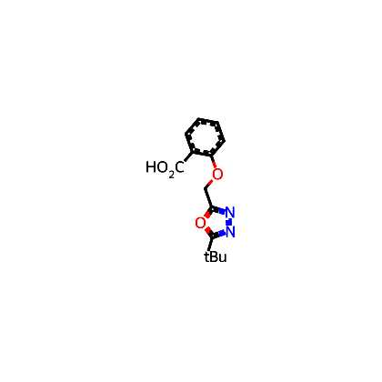 CC(C)(C)c1nnc(COc2ccccc2C(=O)O)o1